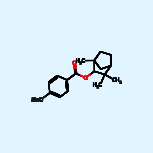 COc1ccc(C(=O)OC2C3(C)CCC(C3)C2(C)C)cc1